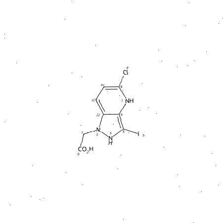 O=C(O)CN1NC(I)=C2NC(Cl)=CC=C21